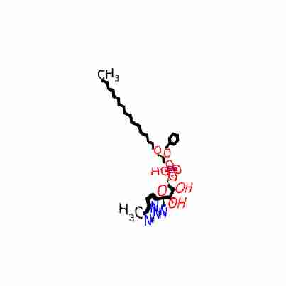 CCCCCCCCCCCCCCCCCCOC[C@H](COP(=O)(O)OC[C@H]1O[C@@](C#N)(c2ccc3c(C)ncnn23)[C@H](O)[C@@H]1O)OCc1ccccc1